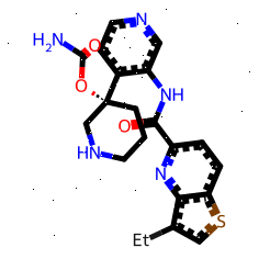 CCc1csc2ccc(C(=O)Nc3cnccc3[C@@]3(OC(N)=O)CCCNC3)nc12